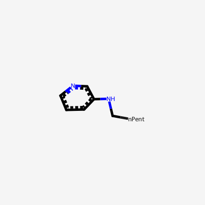 CCCCCCNc1cccnc1